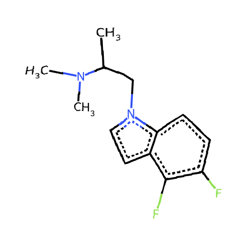 CC(Cn1ccc2c(F)c(F)ccc21)N(C)C